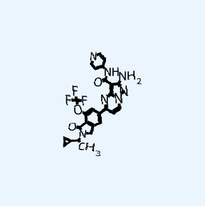 CC(C1CC1)N1Cc2cc(-c3ccn4nc(N)c(C(=O)Nc5ccncc5)c4n3)cc(OC(F)(F)F)c2C1=O